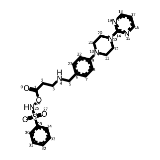 O=C(CCNCc1ccc(N2CCN(c3ncccn3)CC2)cc1)ONS(=O)(=O)c1ccccc1